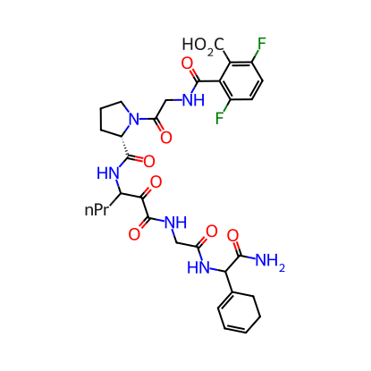 CCCC(NC(=O)[C@@H]1CCCN1C(=O)CNC(=O)c1c(F)ccc(F)c1C(=O)O)C(=O)C(=O)NCC(=O)NC(C(N)=O)C1=CC=CCC1